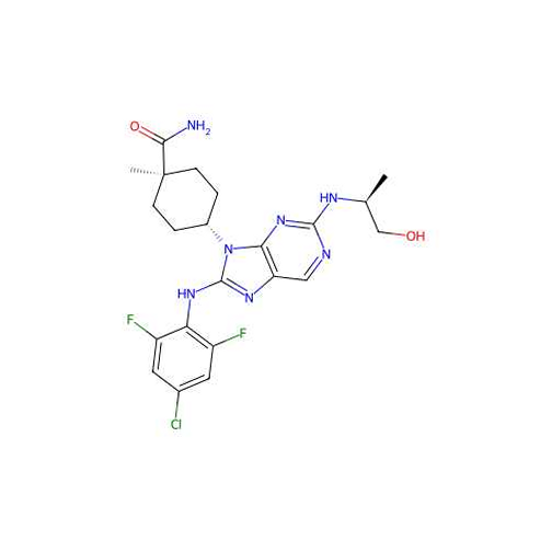 C[C@@H](CO)Nc1ncc2nc(Nc3c(F)cc(Cl)cc3F)n([C@H]3CC[C@](C)(C(N)=O)CC3)c2n1